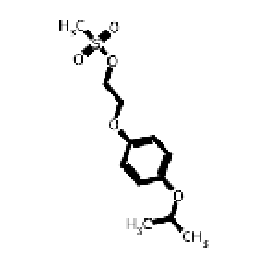 CC(C)Oc1ccc(OCCOS(C)(=O)=O)cc1